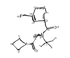 CC(C)(C)N(NC(=O)C1CCC1)C(=O)c1cccc(F)c1